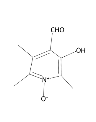 Cc1c(C=O)c(O)c(C)[n+]([O-])c1C